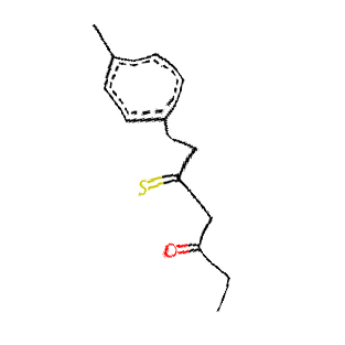 CCC(=O)CC(=S)Cc1ccc(C)cc1